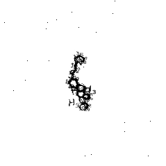 C[C@]12CC[C@H]3[C@@H](CCC4C[C@@H](SCCN5CCCC5)CC[C@@]43C)[C@@H]1CC[C@@H]2c1ccoc1